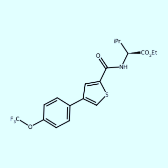 CCOC(=O)[C@@H](NC(=O)c1cc(-c2ccc(OC(F)(F)F)cc2)cs1)C(C)C